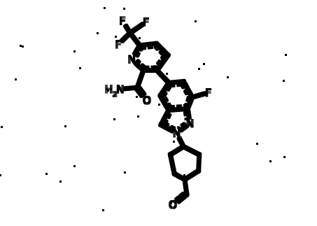 NC(=O)c1nc(C(F)(F)F)ccc1-c1cc(F)c2nn(C3CCC(C=O)CC3)cc2c1